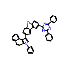 c1ccc(-c2nc(-c3ccccc3)nc(-c3ccc4oc5ccc(-c6cn(-c7ccccc7)c7ccc8ccccc8c67)cc5c4c3)n2)cc1